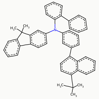 CC(C)(C)c1ccc(-c2cccc(N(c3ccc4c(c3)C(C)(C)c3ccccc3-4)c3ccccc3-c3ccccc3)c2)c2ccccc12